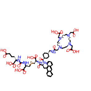 O=C(O)CCC[C@H](NC(=O)N[C@@H](CSC[C@H](NC(=O)C(Cc1c2ccccc2cc2ccccc12)NC(=O)[C@H]1CC[C@H](CNC(=O)CN2CCN(CC(=O)O)CCN(CC(=O)O)CCN(CC(=O)O)CC2)CC1)C(=O)O)C(=O)O)C(=O)O